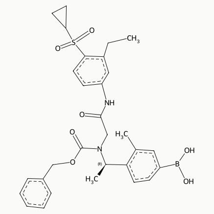 CCc1cc(NC(=O)CN(C(=O)OCc2ccccc2)[C@H](C)c2ccc(B(O)O)cc2C)ccc1S(=O)(=O)C1CC1